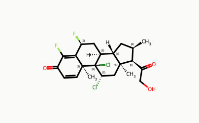 C[C@@H]1C[C@H]2[C@@H]3C[C@H](F)C4=C(F)C(=O)C=C[C@]4(C)[C@@]3(Cl)[C@@H](Cl)C[C@]2(C)[C@@H]1C(=O)CO